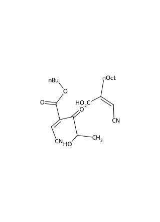 CCCCCCCCC(=CC#N)C(=O)O.CCCCOC(=O)C(=CC#N)C(=O)C(C)O